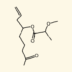 C=CCC(CCCC(C)=O)OC(=O)C(C)OC